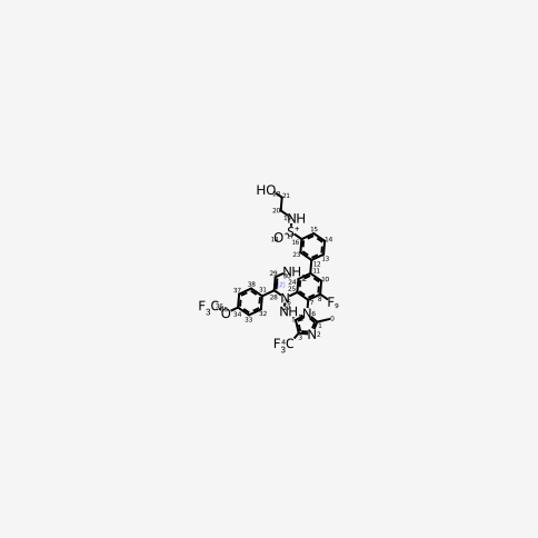 Cc1nc(C(F)(F)F)cn1-c1c(F)cc(-c2cccc([S+]([O-])NCCO)c2)cc1N(N)/C(=C\N)c1ccc(OC(F)(F)F)cc1